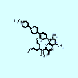 CC/C=C(/N)c1nc(CC)c(NC(CCC)CCC)nc1Nc1ccc(C2CCN(C3CCN(C)CC3)CC2)cc1